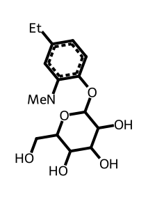 CCc1ccc(OC2OC(CO)C(O)C(O)C2O)c(NC)c1